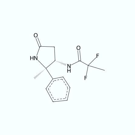 CC(F)(F)C(=O)N[C@H]1CC(=O)N[C@]1(C)c1ccccc1